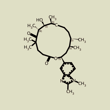 Cc1nc2cc([C@@H]3C[C@H](C)[C@@H](C)CCC[C@H](C)[C@H](O)[C@@H](C)C(=O)C(C)(C)CCC(=O)O3)ccc2n1C